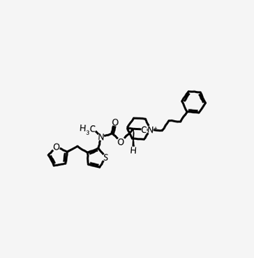 CN(C(=O)O[C@H]1C[N+]2(CCCc3ccccc3)CCC1CC2)c1sccc1Cc1ccco1